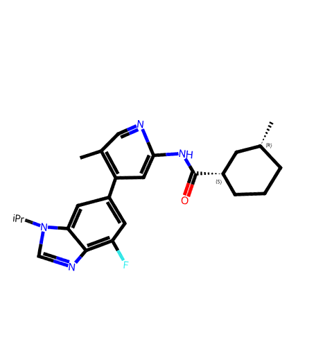 Cc1cnc(NC(=O)[C@H]2CCC[C@@H](C)C2)cc1-c1cc(F)c2ncn(C(C)C)c2c1